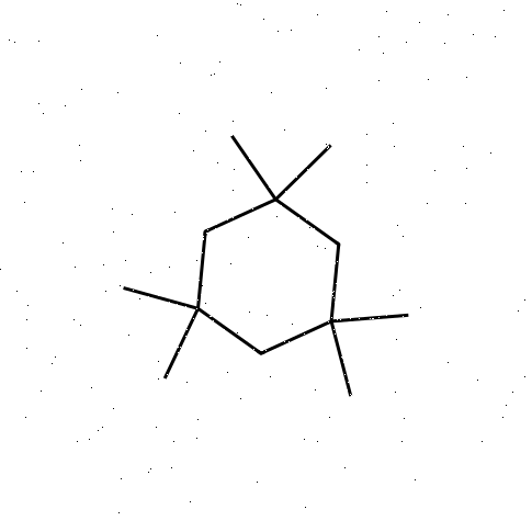 CC1(C)CC(C)(C)CC(C)(C)C1